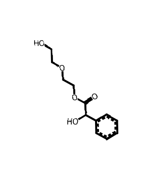 O=C(OCCOCCO)C(O)c1ccccc1